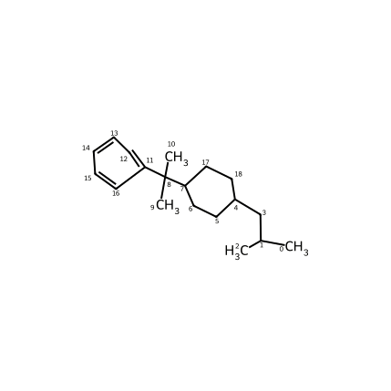 CC(C)CC1CCC(C(C)(C)c2ccccc2)CC1